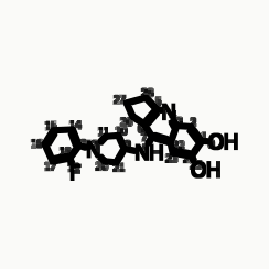 Oc1cc2nc3c(c(NC4CCN(c5ccccc5F)CC4)c2cc1O)CCC3